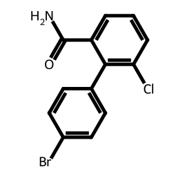 NC(=O)c1cccc(Cl)c1-c1ccc(Br)cc1